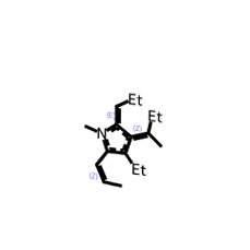 C/C=C\c1c(CC)c(=C(\C)CC)/c(=C\CC)n1C